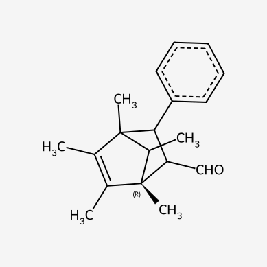 CC1=C(C)[C@@]2(C)C(C=O)C(c3ccccc3)C1(C)C2C